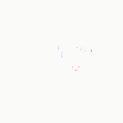 CC(C)(C)C(=O)n1ncc2c[c]ccc21